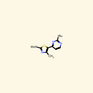 CNc1nc(C)c(-c2ccnc(C(C)(C)C)n2)s1